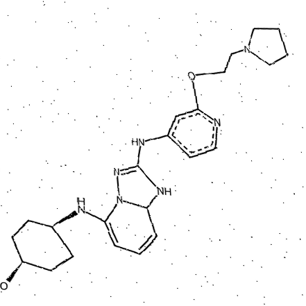 O[C@H]1CC[C@@H](NC2=CC=CC3NC(Nc4ccnc(OCCN5CCCC5)c4)=NN23)CC1